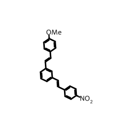 COc1ccc(/C=C/c2cccc(/C=C/c3ccc([N+](=O)[O-])cc3)c2)cc1